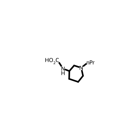 CCCN1CCCC(NC(=O)O)C1